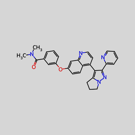 CN(C)C(=O)c1cccc(Oc2ccc3c(-c4c(-c5ccccn5)nn5c4CCC5)ccnc3c2)c1